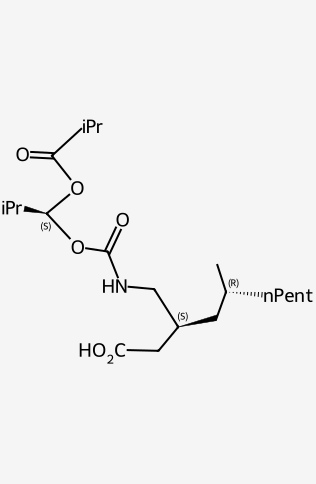 CCCCC[C@@H](C)C[C@H](CNC(=O)O[C@H](OC(=O)C(C)C)C(C)C)CC(=O)O